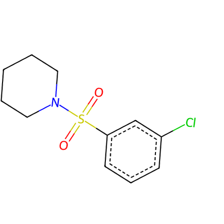 O=S(=O)(c1cccc(Cl)c1)N1CCCCC1